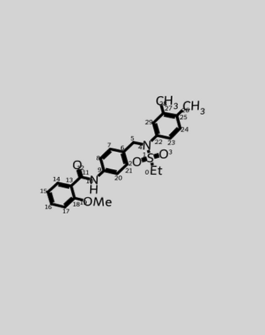 CCS(=O)(=O)N(Cc1ccc(NC(=O)c2ccccc2OC)cc1)c1ccc(C)c(C)c1